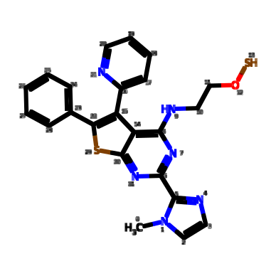 Cn1ccnc1-c1nc(NCCOS)c2c(-c3ccccn3)c(-c3ccccc3)sc2n1